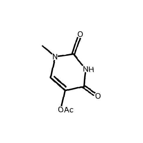 CC(=O)Oc1cn(C)c(=O)[nH]c1=O